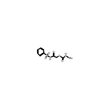 CC(C)(C)NC(=O)OCC(=O)NS(=O)(=O)c1ccccc1